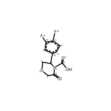 O=C(O)N1C(=O)COCC1c1ccc(F)c(F)c1